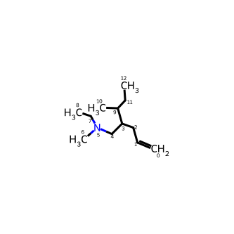 C=CCC(CN(C)CC)C(C)CC